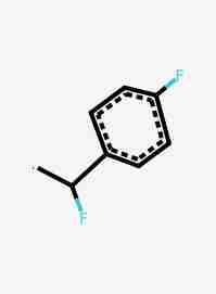 [CH2]C(F)c1ccc(F)cc1